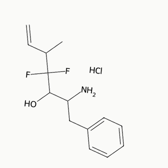 C=CC(C)C(F)(F)C(O)C(N)Cc1ccccc1.Cl